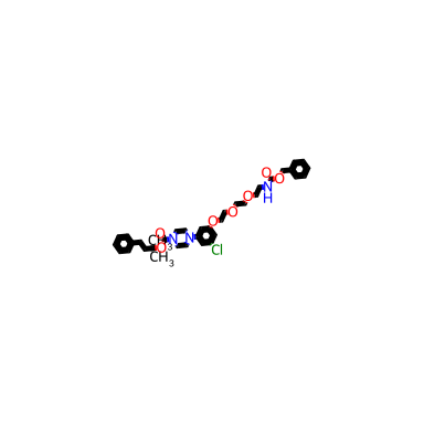 CC(C)(CCc1ccccc1)OC(=O)N1CCN(c2cc(Cl)cc(OCCOCCOCCNC(=O)OCc3ccccc3)c2)CC1